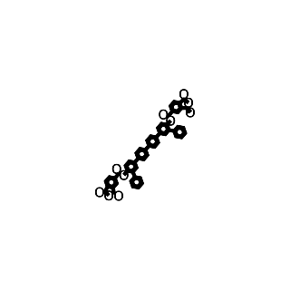 O=C(Oc1ccc(-c2ccc(-c3ccc(-c4ccc(OC(=O)c5ccc6c(c5)C(=O)OC6=O)c(-c5ccccc5)c4)cc3)cc2)cc1-c1ccccc1)c1ccc2c(c1)C(=O)OC2=O